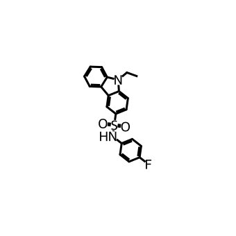 CCn1c2ccccc2c2cc(S(=O)(=O)Nc3ccc(F)cc3)ccc21